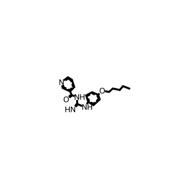 CCCCCOc1ccc(NC(=N)NC(=O)c2cccnc2)cc1